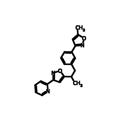 Cc1cc(-c2cccc(CC(C)c3cc(-c4ccccn4)no3)c2)no1